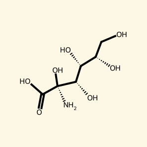 N[C@@](O)(C(=O)O)[C@@H](O)[C@H](O)[C@@H](O)CO